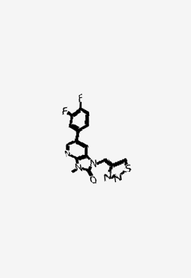 Cn1c(=O)n(Cc2csnn2)c2cc(-c3ccc(F)c(F)c3)cnc21